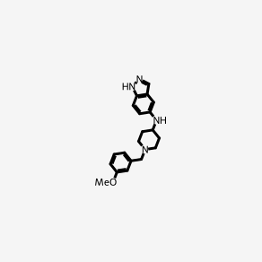 COc1cccc(CN2CCC(Nc3ccc4[nH]ncc4c3)CC2)c1